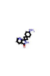 NC1CCC2(CC1)CC1(C2)NC(=O)c2cccnc21